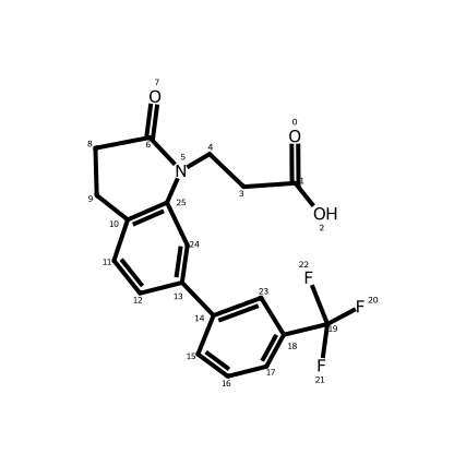 O=C(O)CCN1C(=O)CCc2ccc(-c3cccc(C(F)(F)F)c3)cc21